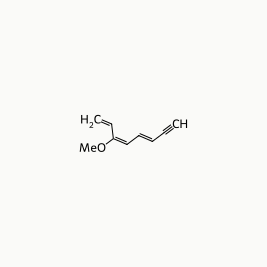 C#C/C=C/C=C(\C=C)OC